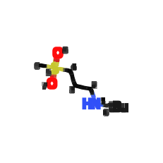 CC(C)(C)NCCCS(C)(=O)=O